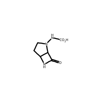 O=C(O)NN1CCC2NC(=O)C21